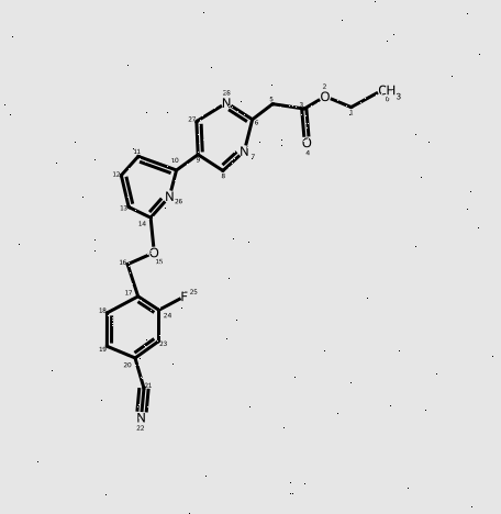 CCOC(=O)Cc1ncc(-c2cccc(OCc3ccc(C#N)cc3F)n2)cn1